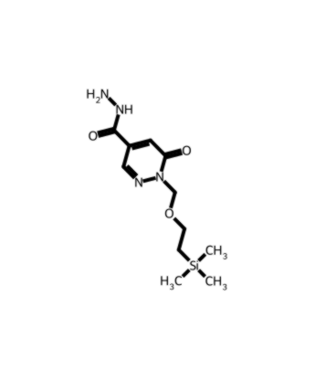 C[Si](C)(C)CCOCn1ncc(C(=O)NN)cc1=O